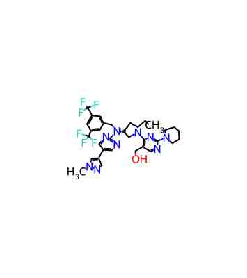 CCC1C[C@H](N(Cc2cc(C(F)(F)F)cc(C(F)(F)F)c2)c2ncc(-c3cnn(C)c3)cn2)CN1c1nc(N2CCCCC2)ncc1CO